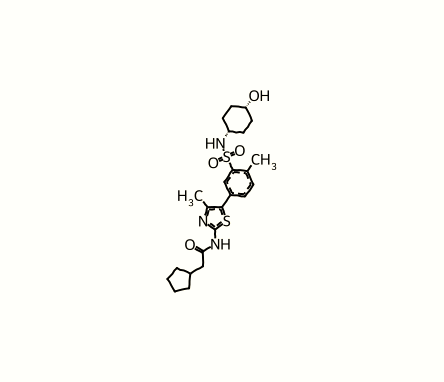 Cc1ccc(-c2sc(NC(=O)CC3CCCC3)nc2C)cc1S(=O)(=O)N[C@H]1CC[C@@H](O)CC1